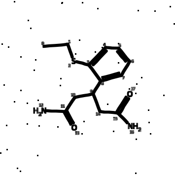 CCSc1ccccc1C(CC(N)=O)CC(N)=O